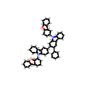 c1ccc(-c2cc3c4ccccc4n(-c4ccc5oc6ccccc6c5c4)c3cc2-c2ccc3c(c2)c2ccccc2n3-c2cccc3c2oc2ccccc23)cc1